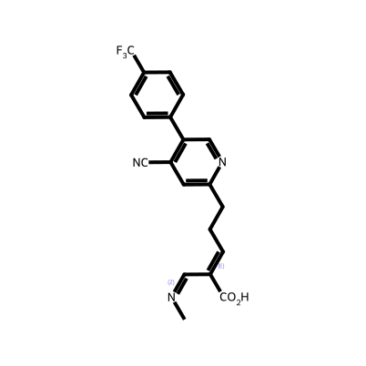 C/N=C\C(=C/CCc1cc(C#N)c(-c2ccc(C(F)(F)F)cc2)cn1)C(=O)O